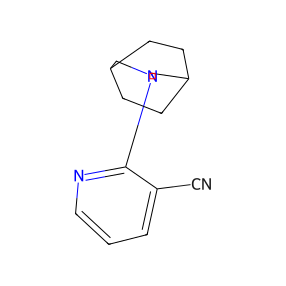 N#Cc1cccnc1N1CC2CCC(CC2)C1